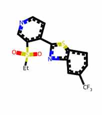 CCS(=O)(=O)c1cnccc1-c1nc2cc(C(F)(F)F)ccc2s1